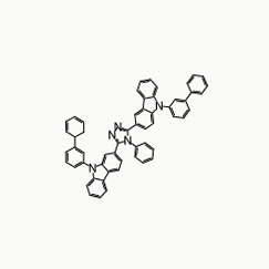 C1=CCC(c2cccc(-n3c4ccccc4c4ccc(-c5nnc(-c6ccc7c(c6)c6ccccc6n7-c6cccc(-c7ccccc7)c6)n5-c5ccccc5)cc43)c2)C=C1